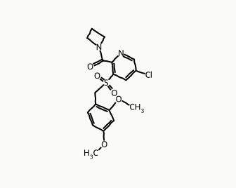 COc1ccc(CS(=O)(=O)c2cc(Cl)cnc2C(=O)N2CCC2)c(OC)c1